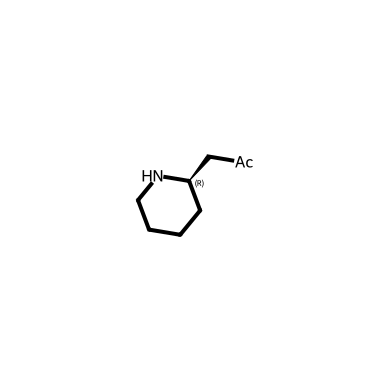 CC(=O)C[C@H]1CCCCN1